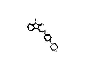 O=C1Nc2ccccc2C1=CNc1ccc(N2CCSCC2)cc1